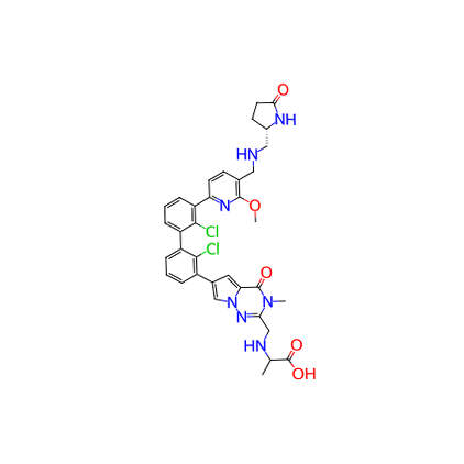 COc1nc(-c2cccc(-c3cccc(-c4cc5c(=O)n(C)c(CNC(C)C(=O)O)nn5c4)c3Cl)c2Cl)ccc1CNC[C@@H]1CCC(=O)N1